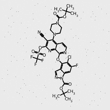 CC(C)(C)OC(=O)N1CCN(c2c(C#N)c(OS(=O)(=O)C(F)(F)F)nc3c(Oc4c(Cl)c(F)cc5c4cnn5C(=O)OC(C)(C)C)nccc23)CC1